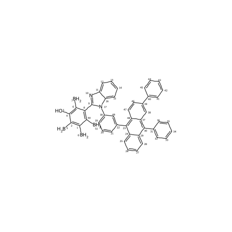 Bc1c(B)c(O)c(B)c(-c2nc3ccccc3n2-c2cccc(-c3c4ccccc4c(-c4ccccc4)c4cc(-c5ccccc5)ccc34)c2)c1B